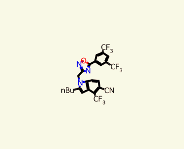 CCCCc1cc2c(C(F)(F)F)c(C#N)ccc2n1Cc1noc(-c2cc(C(F)(F)F)cc(C(F)(F)F)c2)n1